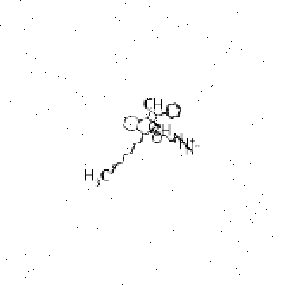 C/C=C/CCCC/C=C(/C(=O)OCCN=[N+]=[N-])C1CCCCC1C1C(C)C(c2ccccc2)C1C